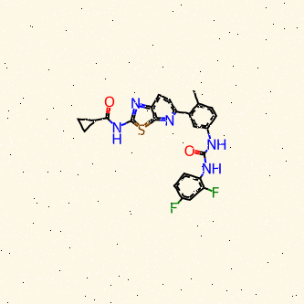 Cc1ccc(NC(=O)Nc2ccc(F)cc2F)cc1-c1ccc2nc(NC(=O)C3CC3)sc2n1